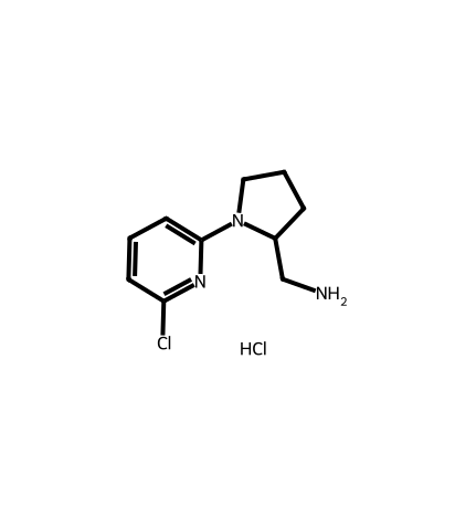 Cl.NCC1CCCN1c1cccc(Cl)n1